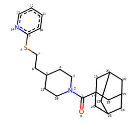 O=C(N1CCC(CCSc2ccccn2)CC1)C12CC3CC(CC(C3)C1)C2